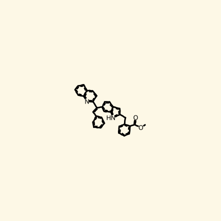 COC(=O)c1ccccc1Cc1cc2ccc(C(=Cc3ccccc3)c3ccc4ccccc4n3)cc2[nH]1